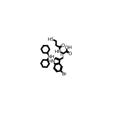 C1CCC(NC2CCCCC2)CC1.O=C(CCS)N[C@@H](Cc1c[nH]c2ccc(Br)cc12)C(=O)O